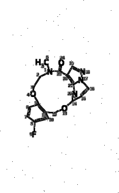 CN1CCOc2ccc(F)cc2COc2ccn3ncc(c3n2)C1=O